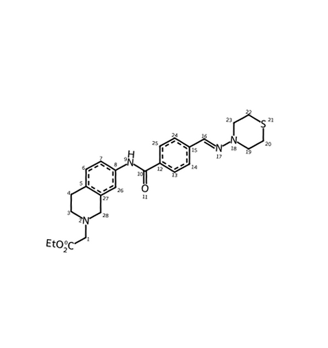 CCOC(=O)CN1CCc2ccc(NC(=O)c3ccc(C=NN4CCSCC4)cc3)cc2C1